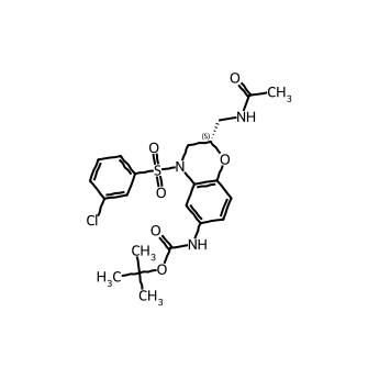 CC(=O)NC[C@H]1CN(S(=O)(=O)c2cccc(Cl)c2)c2cc(NC(=O)OC(C)(C)C)ccc2O1